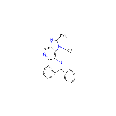 Cc1nc2cncc(N=C(c3ccccc3)c3ccccc3)c2n1C1CC1